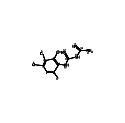 Cc1cc(Cl)c(Cl)c(Cl)c1NC(=N)NC(=N)N